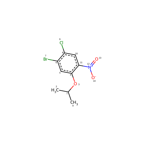 CC(C)Oc1cc(Br)c(Cl)cc1[N+](=O)[O-]